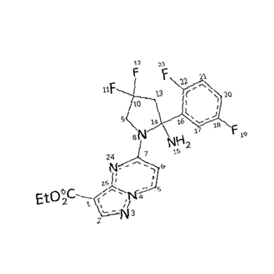 CCOC(=O)c1cnn2ccc(N3CC(F)(F)CC3(N)c3cc(F)ccc3F)nc12